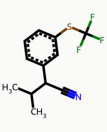 CC(C)C(C#N)c1cccc(SC(F)(F)F)c1